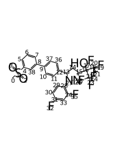 CS(=O)(=O)c1cccc(-c2ccc(C3CC(C(O)(C(F)(F)F)C(F)(F)F)=NN3c3ccc(F)cc3F)cc2)c1